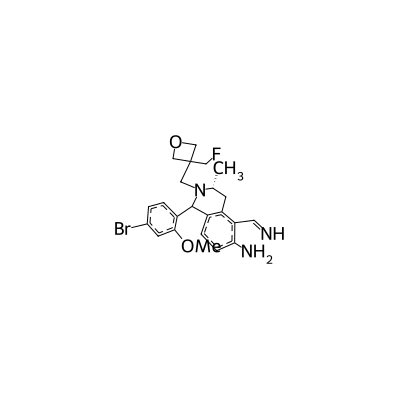 COc1cc(Br)ccc1C1c2ccc(N)c(C=N)c2C[C@@H](C)N1CC1(CF)COC1